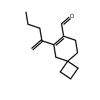 C=C(CCC)C1=C(C=O)CCC2(CCC2)C1